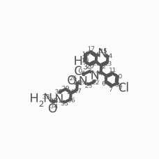 CC1CN(C(c2ccc(Cl)cc2)c2ccnc3ccccc23)CCN1C(=O)CC1CCN(C(N)=O)CC1